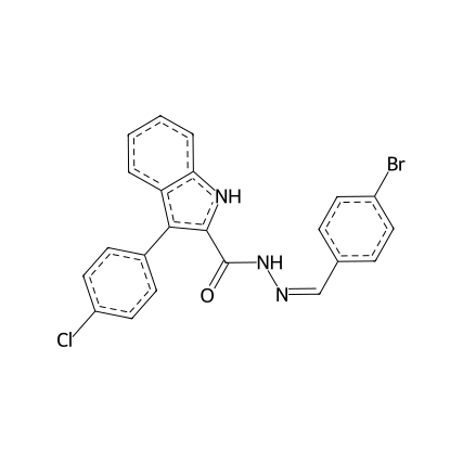 O=C(N/N=C\c1ccc(Br)cc1)c1[nH]c2ccccc2c1-c1ccc(Cl)cc1